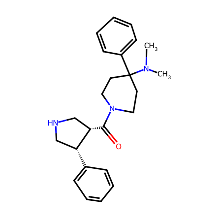 CN(C)C1(c2ccccc2)CCN(C(=O)[C@H]2CNC[C@H]2c2ccccc2)CC1